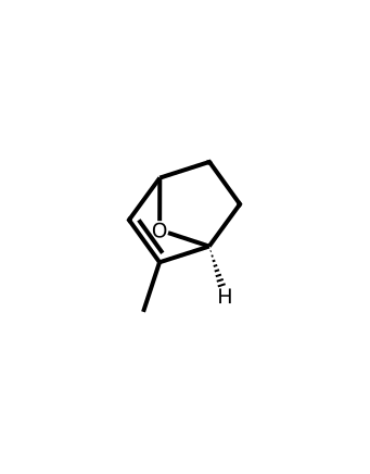 CC1=CC2CC[C@@H]1O2